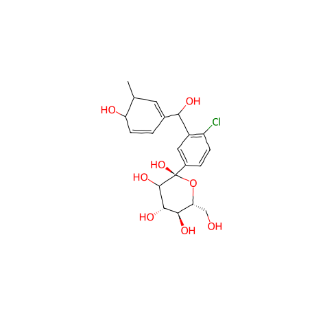 CC1C=C(C(O)c2cc([C@]3(O)O[C@H](CO)[C@@H](O)[C@H](O)C3O)ccc2Cl)C=CC1O